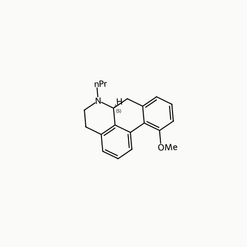 CCCN1CCc2cccc3c2[C@@H]1Cc1cccc(OC)c1-3